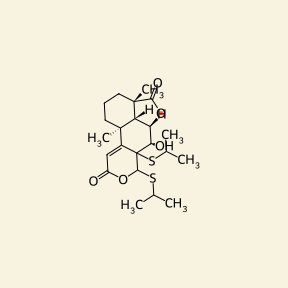 CC(C)SC1OC(=O)C=C2C1(SC(C)C)[C@H](O)[C@H]1OC(=O)[C@@]3(C)CCC[C@@]2(C)[C@@H]13